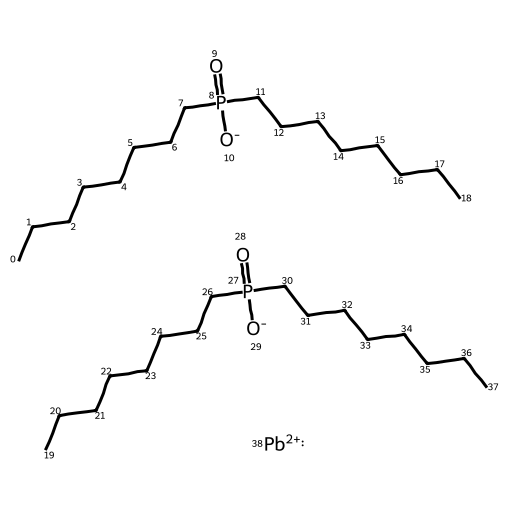 CCCCCCCCP(=O)([O-])CCCCCCCC.CCCCCCCCP(=O)([O-])CCCCCCCC.[Pb+2]